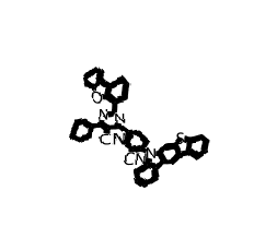 N#Cc1cc(-c2nc(-c3cccc4c3oc3ccccc34)nc(-c3ccccc3)c2C#N)ccc1-n1c2ccccc2c2cc3c(cc21)sc1ccccc13